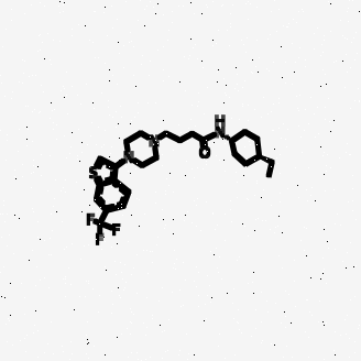 CC[C@H]1CC[C@H](NC(=O)CCCN2CCN(c3csc4cc(C(F)(F)F)ccc34)CC2)CC1